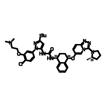 C[C@H]1CCCN1c1nnc2ccc(O[C@@H]3CC[C@H](NC(=O)Nc4cc(C(C)(C)C)nn4-c4ccc(Cl)c(OCCN(C)C)c4)c4ccccc43)cn12